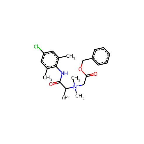 CCCC(C(=O)Nc1c(C)cc(Cl)cc1C)[N+](C)(C)CC(=O)OCc1ccccc1